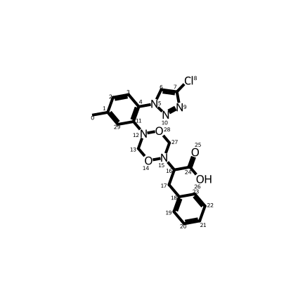 Cc1ccc(-n2cc(Cl)nn2)c(N2CON(C(Cc3ccccc3)C(=O)O)CO2)c1